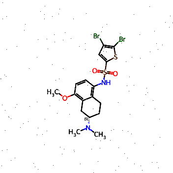 COc1ccc(NS(=O)(=O)c2cc(Br)c(Br)s2)c2c1C[C@@H](N(C)C)CC2